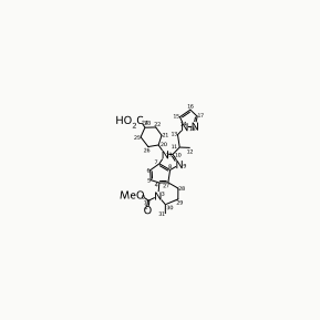 COC(=O)N1c2ccc3c(nc(C(C)Cn4cccn4)n3C3CCC(C(=O)O)CC3)c2CCC1C